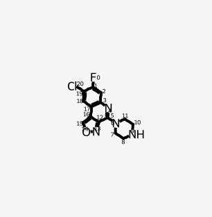 Fc1cc2nc(N3CCNCC3)c3nocc3c2cc1Cl